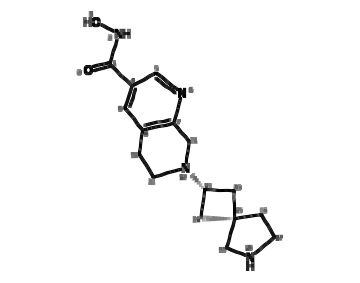 O=C(NO)c1cnc2c(c1)CCN([C@H]1C[C@@]3(CCNC3)C1)C2